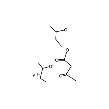 CC(=O)CC(=O)[O-].CCC(C)[O-].CCC(C)[O-].[Al+3]